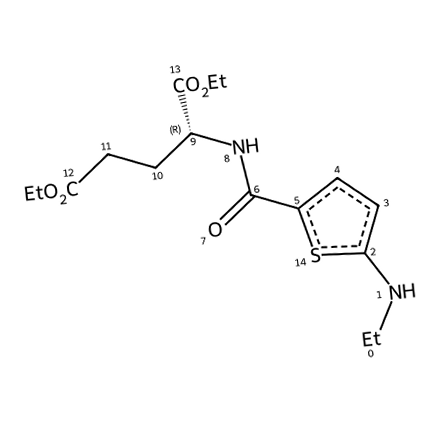 CCNc1ccc(C(=O)N[C@H](CCC(=O)OCC)C(=O)OCC)s1